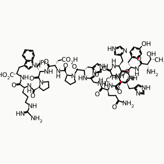 CC(C)C[C@H](NC(=O)[C@H](Cc1c[nH]cn1)NC(=O)[C@H](C)NC(=O)[C@H](Cc1c[nH]cn1)NC(=O)[C@H](Cc1ccc(O)cc1)NC(=O)[C@@H](N)[C@@H](C)O)C(=O)N[C@@H](CCC(N)=O)C(=O)NCC(=O)N[C@@H](Cc1c[nH]cn1)C(=O)N1CCC[C@H]1C(=O)N[C@@H](CC(=O)O)C(=O)N[C@@H](CC(C)C)C(=O)N1CCC[C@H]1C(=O)N[C@@H](CCCNC(=N)N)C(=O)N[C@@H](Cc1c[nH]c2ccccc12)C(=O)O